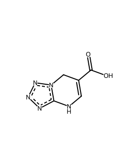 O=C(O)C1=CNc2nnnn2C1